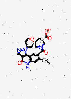 Cc1cc2[nH]c(=O)c3cnn(C4CCOCC4)c3c2cc1C(=O)N1CCC[C@H](C(=O)O)C1